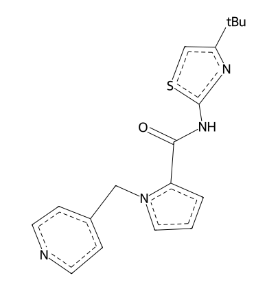 CC(C)(C)c1csc(NC(=O)c2cccn2Cc2ccncc2)n1